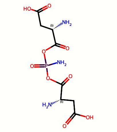 N[C@@H](CC(=O)O)C(=O)OP(N)(=O)OC(=O)[C@@H](N)CC(=O)O